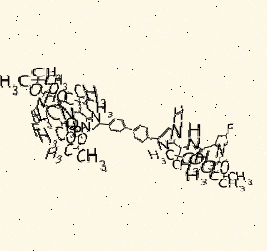 CC(C)OP(=O)(OC(C)C)n1cc(-c2ccc(-c3ccc(-c4c[nH]c([C@@H](NC(=O)C5C[C@@H](F)CN5C(=O)OC(C)(C)C)C(C)(C)C)n4)cc3)cc2)nc1[C@@H](NC(=O)C1C[C@@H](F)CN1C(=O)OC(C)(C)C)C(C)(C)C